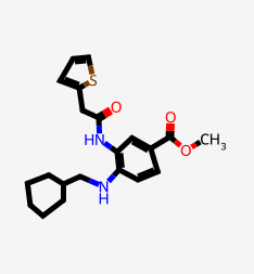 COC(=O)c1ccc(NCC2CCCCC2)c(NC(=O)Cc2cccs2)c1